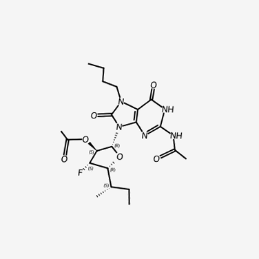 CCCCn1c(=O)n([C@@H]2O[C@H]([C@@H](C)CC)[C@H](F)[C@H]2OC(C)=O)c2nc(NC(C)=O)[nH]c(=O)c21